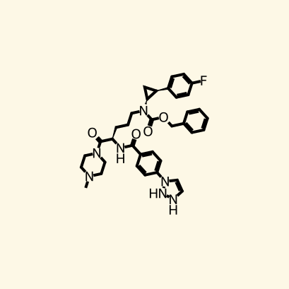 CN1CCN(C(=O)[C@@H](CCCN(C(=O)OCc2ccccc2)[C@@H]2C[C@H]2c2ccc(F)cc2)NC(=O)c2ccc(N3C=CNN3)cc2)CC1